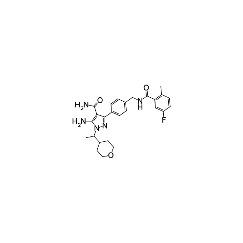 Cc1ccc(F)cc1C(=O)NCc1ccc(-c2nn(C(C)C3CCOCC3)c(N)c2C(N)=O)cc1